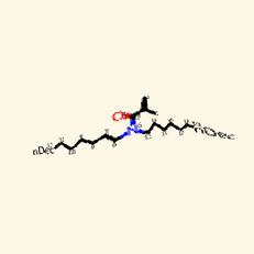 C=C(C)C(=O)N(CCCCCCCCCCCCCCCC)CCCCCCCCCCCCCCCC